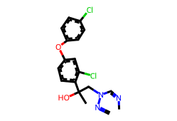 C=NN(/C=N\C)CC(C)(O)c1ccc(Oc2ccc(Cl)cc2)cc1Cl